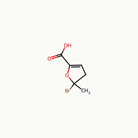 CC1(Br)CC=C(C(=O)O)O1